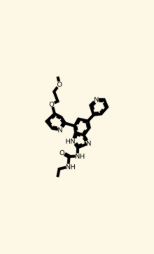 CCNC(=O)Nc1nc2cc(-c3cccnc3)cc(-c3cc(OCCOC)ccn3)c2[nH]1